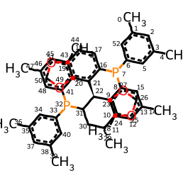 Cc1cc(C)cc(P(c2cc(C)cc(C)c2)c2ccc3c(c2[C@H]2C4=C(OCO4)[C@H](C)CC2P(c2cc(C)cc(C)c2)c2cc(C)cc(C)c2)OCO3)c1